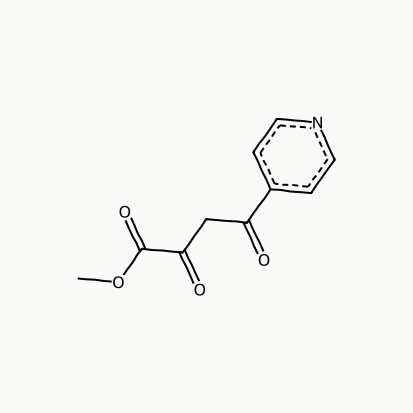 COC(=O)C(=O)CC(=O)c1ccncc1